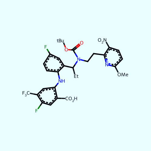 CCC(c1cc(F)ccc1Nc1cc(C(F)(F)F)c(F)cc1C(=O)O)N(CCc1nc(OC)ccc1[N+](=O)[O-])C(=O)OC(C)(C)C